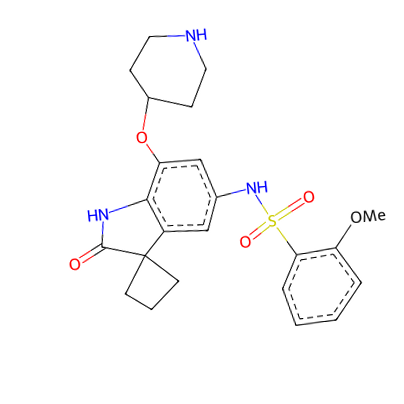 COc1ccccc1S(=O)(=O)Nc1cc(OC2CCNCC2)c2c(c1)C1(CCC1)C(=O)N2